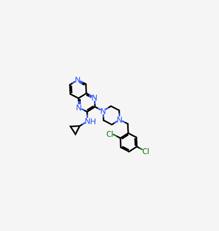 Clc1ccc(Cl)c(CN2CCN(c3nc4cnccc4nc3NC3CC3)CC2)c1